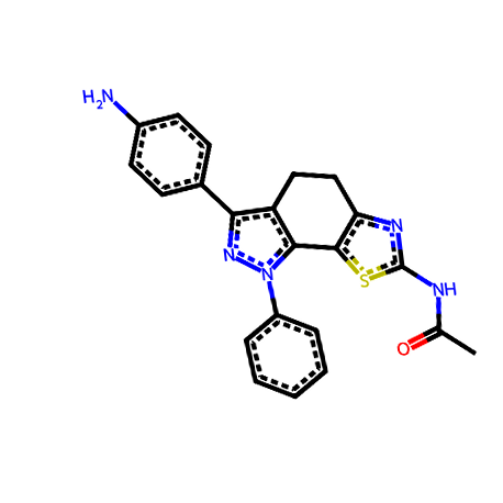 CC(=O)Nc1nc2c(s1)-c1c(c(-c3ccc(N)cc3)nn1-c1ccccc1)CC2